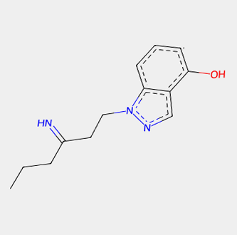 CCCC(=N)CCn1ncc2c(O)[c]ccc21